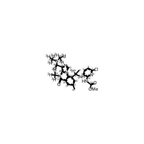 [2H]C(C)(Nc1ccc(Cl)nc1NC(=O)OC)c1cc(C)cc2c(=O)n(C([2H])([2H])[2H])c3c(C(=O)N(C([2H])([2H])[2H])C([2H])([2H])[2H])ncn3c12